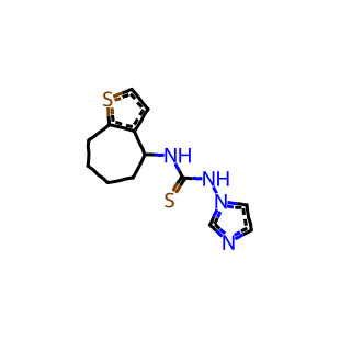 S=C(NC1CCCCc2sccc21)Nn1ccnc1